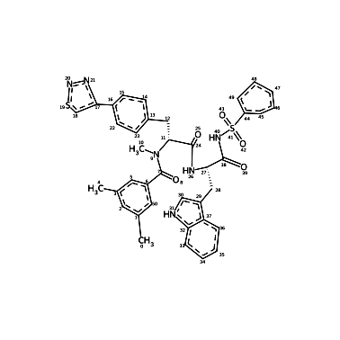 Cc1cc(C)cc(C(=O)N(C)[C@H](Cc2ccc(-c3csnn3)cc2)C(=O)N[C@@H](Cc2c[nH]c3ccccc23)C(=O)NS(=O)(=O)c2ccccc2)c1